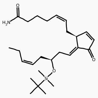 CC/C=C\C[C@@H](C/C=C1/C(=O)C=C[C@@H]1C/C=C\CCCC(N)=O)O[Si](C)(C)C(C)(C)C